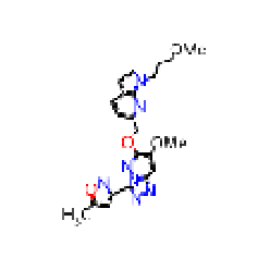 COCCCn1ccc2ccc(COc3nn4c(-c5cc(C)on5)nnc4cc3OC)nc21